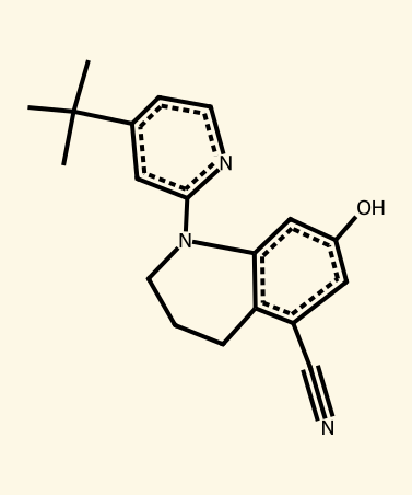 CC(C)(C)c1ccnc(N2CCCc3c(C#N)cc(O)cc32)c1